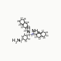 NCc1ccc(C(/C=C(\N)c2ccc3ccccc3c2)NCc2ccc3ccccc3c2)cc1